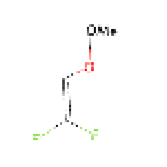 COOC=C(F)F